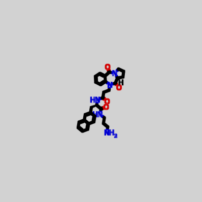 NCCCNC(=O)[C@@H](Cc1ccc2ccccc2c1)NC(=O)CCN1C(=O)[C@@H]2CCCN2C(=O)c2ccccc21